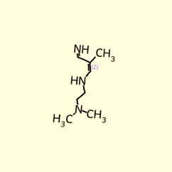 C/C(C=N)=C/NCCN(C)C